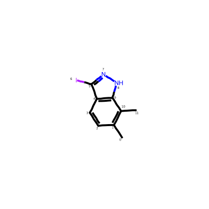 Cc1ccc2c(I)n[nH]c2c1C